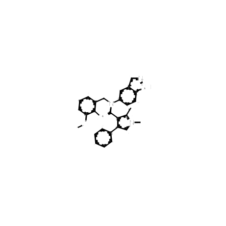 COc1cccc(CN(C(=O)c2c(-c3ccccc3)cn(C)c2C)c2ccc3[nH]ncc3c2)c1C